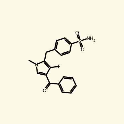 Cn1cc(C(=O)c2ccccc2)c(F)c1Cc1ccc(S(N)(=O)=O)cc1